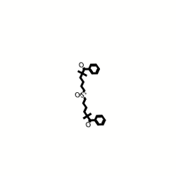 CC(C)(CCCC[S+]([O-])CCCCC(C)(C)C(=O)c1ccccc1)C(=O)c1ccccc1